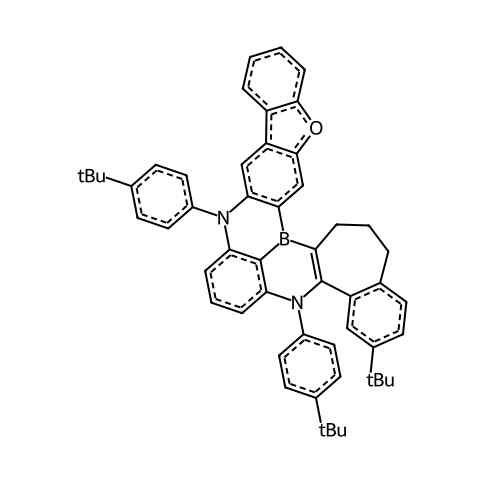 CC(C)(C)c1ccc(N2C3=C(CCCc4ccc(C(C)(C)C)cc43)B3c4cc5oc6ccccc6c5cc4N(c4ccc(C(C)(C)C)cc4)c4cccc2c43)cc1